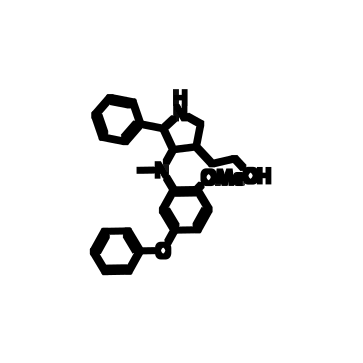 COc1ccc(Oc2ccccc2)cc1N(C)C1C(CCO)CNC1c1ccccc1